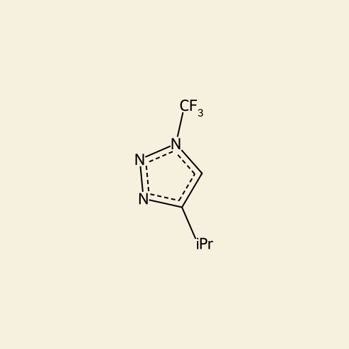 CC(C)c1cn(C(F)(F)F)nn1